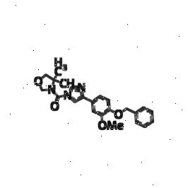 COc1cc(-c2cn(C(=O)N3COCC3(C)C)cn2)ccc1OCc1ccccc1